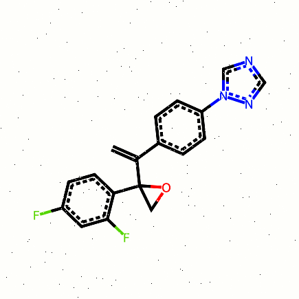 C=C(c1ccc(-n2cncn2)cc1)C1(c2ccc(F)cc2F)CO1